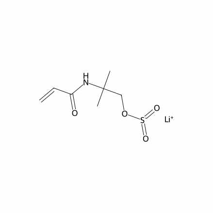 C=CC(=O)NC(C)(C)CO[S-](=O)=O.[Li+]